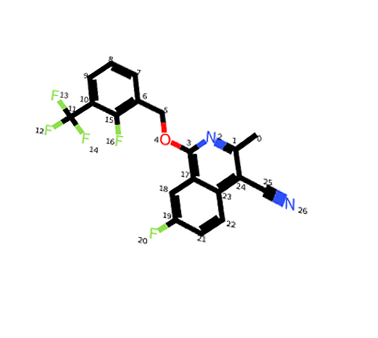 Cc1nc(OCc2cccc(C(F)(F)F)c2F)c2cc(F)ccc2c1C#N